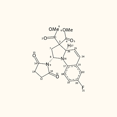 COC(=O)C1(C(=O)OC)C[C@@H](N2C(=O)CCC2=O)N2c3ccc(F)cc3C=C[C@@H]21